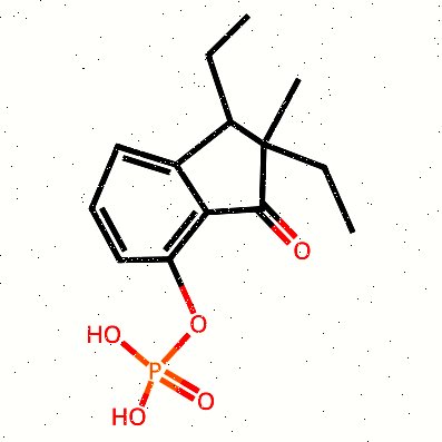 CCC1c2cccc(OP(=O)(O)O)c2C(=O)C1(C)CC